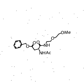 COCCOCCNC(=O)[C@H](CC(=O)OCc1ccccc1)NC(C)=O